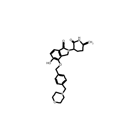 C=C1CCC(N2Cc3c(ccc(O)c3OCc3ccc(CN4CCOCC4)cc3)C2=O)C(=O)N1